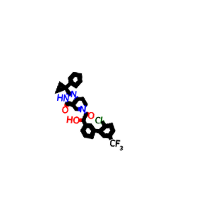 O=C(C(O)c1cccc(-c2cc(C(F)(F)F)ccc2Cl)c1)N1CCc2nc(C3(c4ccccc4)CC3)[nH]c(=O)c2C1